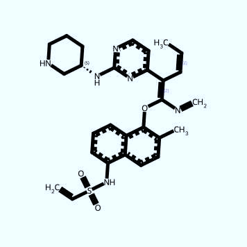 C=CS(=O)(=O)Nc1cccc2c(O/C(N=C)=C(/C=C\C)c3ccnc(N[C@H]4CCCNC4)n3)c(C)ccc12